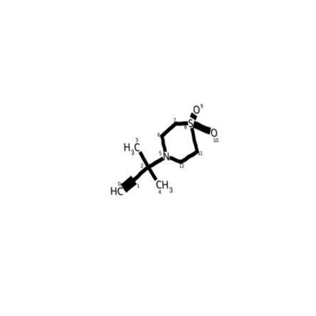 C#CC(C)(C)N1CCS(=O)(=O)CC1